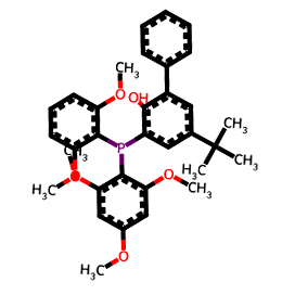 COc1cc(OC)c(P(c2cc(C(C)(C)C)cc(-c3ccccc3)c2O)c2c(OC)cccc2OC)c(OC)c1